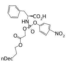 CCCCCCCCCCCCOC(=O)COP(=O)(N[C@@H](Cc1ccccc1)C(=O)O)Oc1ccc([N+](=O)[O-])cc1